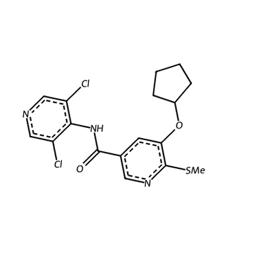 CSc1ncc(C(=O)Nc2c(Cl)cncc2Cl)cc1OC1CCCC1